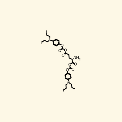 N[C@@H](CCC(=O)OC(=O)Oc1ccc(N(CCI)CCI)cc1)C(=O)OC(=O)Oc1ccc(N(CCI)CCI)cc1